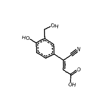 N#CC(=CC(=O)O)c1ccc(O)c(CO)c1